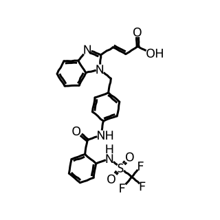 O=C(O)C=Cc1nc2ccccc2n1Cc1ccc(NC(=O)c2ccccc2NS(=O)(=O)C(F)(F)F)cc1